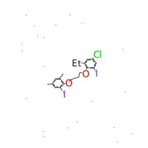 CCc1cc(Cl)cc(I)c1OCCCOc1c(C)cc(C)cc1I